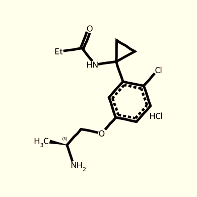 CCC(=O)NC1(c2cc(OC[C@H](C)N)ccc2Cl)CC1.Cl